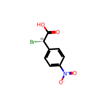 O=C(O)[C@@H](Br)c1ccc([N+](=O)[O-])cc1